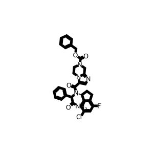 NC(=O)C(c1ccccc1)N(C(=O)c1cnc2n1CCN(C(=O)OCc1ccccc1)C2)[C@@H]1CCc2c(F)cc(Cl)cc21